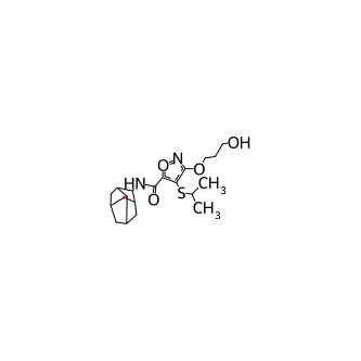 CC(C)Sc1c(OCCCO)noc1C(=O)NC1C2CC3CC(C2)CC1C3